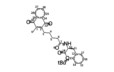 CC1=C(CCCCC(=O)N[C@@H](Cc2ccccc2)C(=O)OC(C)(C)C)C(=O)c2ccccc2C1=O